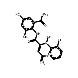 C=C(Br)/C=C(/C(=O)Nc1c(C)cc(C#N)cc1C(=O)NC)N(N)c1ncccc1Cl